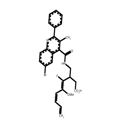 C=C/C=C\C(OC)=C(/F)C(CNC(=O)c1c(C)c(-c2ccccc2)nc2ccc(Br)cc12)CC(=O)O